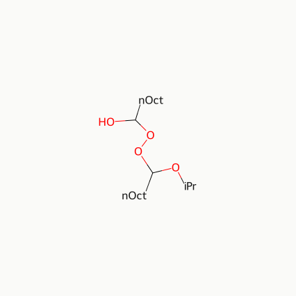 CCCCCCCCC(O)OOC(CCCCCCCC)OC(C)C